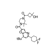 CC1(O)CC(C(=O)N2CCN(C(=O)c3cc4nc(C5CCC(F)(F)CC5)cc(C(C)(C)C)c4o3)C(C)(C)C2)C1